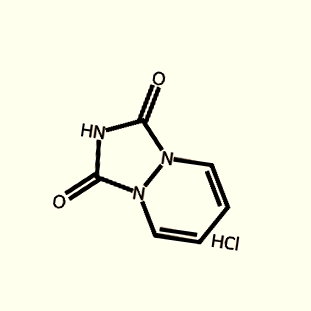 Cl.O=c1[nH]c(=O)n2ccccn12